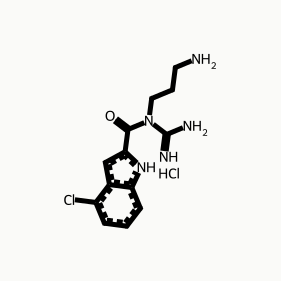 Cl.N=C(N)N(CCCN)C(=O)c1cc2c(Cl)cccc2[nH]1